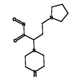 O=NC(=O)C(CCN1CCCC1)N1CCNCC1